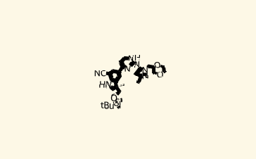 Cc1cc(Nc2nccc(-c3cc(C#N)c4c(c3)[C@@](C)(CO[Si](C)(C)C(C)(C)C)CN4)n2)n(CC2COCCO2)n1